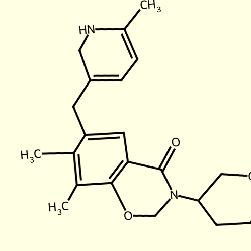 CC1=CC=C(Cc2cc3c(c(C)c2C)OCN(C2CCCOC2)C3=O)CN1